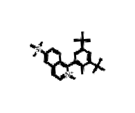 Cc1c(-c2c3ccc([Si](C)(C)C)cc3cc[n+]2C)cc(C(C)(C)C)cc1C(C)(C)C